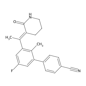 C/C(=C1/CCCNC1=O)c1cc(F)cc(-c2ccc(C#N)cc2)c1C